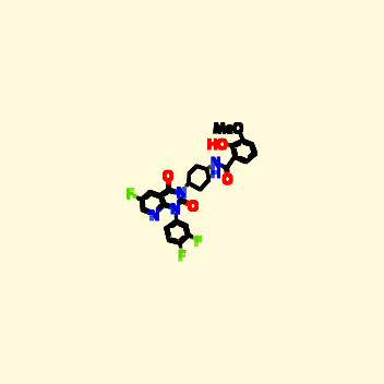 COc1cccc(C(=O)N[C@H]2CC[C@@H](n3c(=O)c4cc(F)cnc4n(-c4ccc(F)c(F)c4)c3=O)CC2)c1O